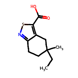 CCC1(C)CCc2nsc(C(=O)O)c2C1